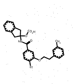 CCc1ccc(C(=O)NC2(OC(=O)O)Cc3ccccc3C2)cc1OCCc1cccc(C)c1